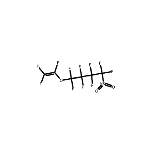 O=[SH](=O)C(F)(F)C(F)(F)C(F)(F)C(F)(F)OC(F)=C(F)F